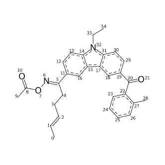 C/C=C/CC/C(=N\OC(C)=O)c1ccc2c(c1)c1cc(C(=O)c3ccccc3C)ccc1n2CC